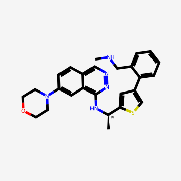 CNCc1ccccc1-c1csc([C@@H](C)Nc2nncc3ccc(N4CCOCC4)cc23)c1